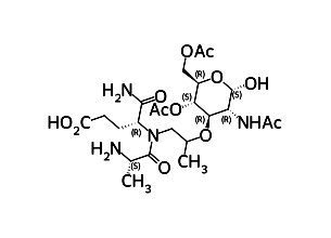 CC(=O)N[C@@H]1[C@@H](OC(C)CN(C(=O)[C@H](C)N)[C@H](CCC(=O)O)C(N)=O)[C@H](OC(C)=O)[C@@H](COC(C)=O)O[C@@H]1O